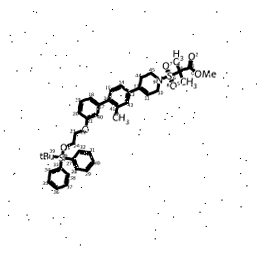 COC(=O)C(C)(C)S(=O)(=O)N1CC=C(c2ccc(-c3cccc(OCCO[Si](c4ccccc4)(c4ccccc4)C(C)(C)C)c3)c(C)c2)CC1